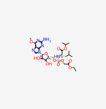 CCOC(=O)CO[P@](=O)(N[C@@H](CC(C)C)C(=O)OC(C)C)OC[C@H]1O[C@@H](n2cnc3c(OC)nc(N)nc32)[C@](C)(O)[C@@H]1O